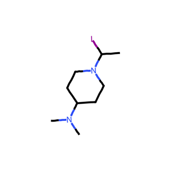 CC(I)N1CCC(N(C)C)CC1